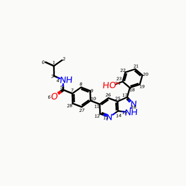 CC(C)CNC(=O)c1ccc(-c2cnc3[nH]nc(-c4ccccc4O)c3c2)cc1